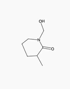 CC1CCCN(CO)C1=O